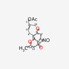 CC(=O)OCC1=CCc2c(cc(N=O)c3c(=O)cc(C)oc23)OC1